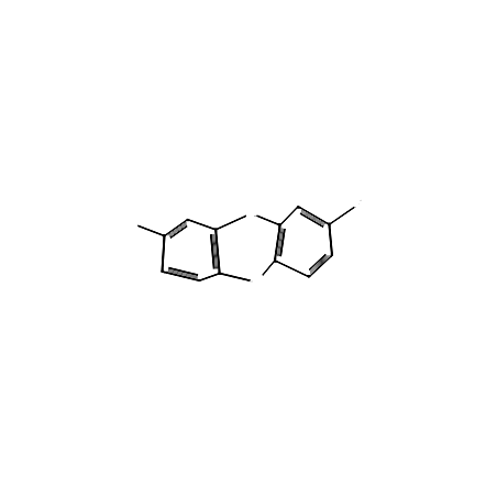 CC(=O)c1ccc2c(c1)Sc1cc(C)ccc1O2